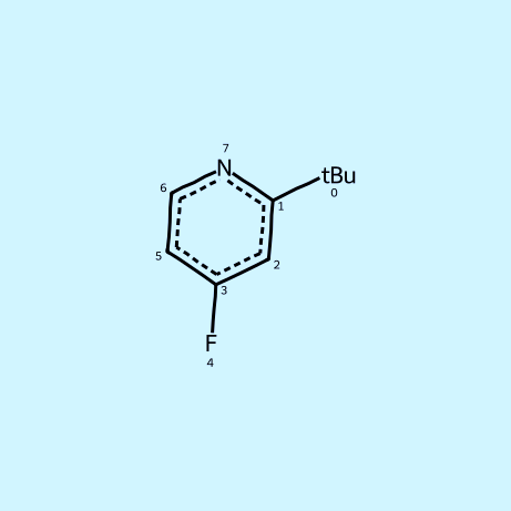 CC(C)(C)c1cc(F)ccn1